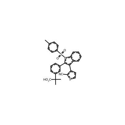 Cc1ccc(S(=O)(=O)n2c(-c3cccc(C(C)(C)C(=O)O)c3)c(-c3ccsc3C#N)c3ccccc32)cc1